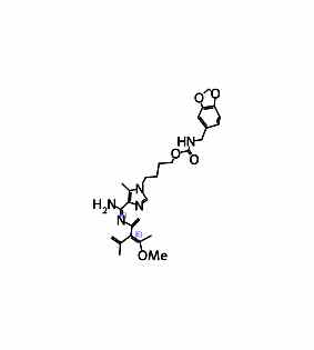 C=C(C)/C(C(=C)/N=C(/N)c1ncn(CCCCOC(=O)NCc2ccc3c(c2)OCO3)c1C)=C(/C)OC